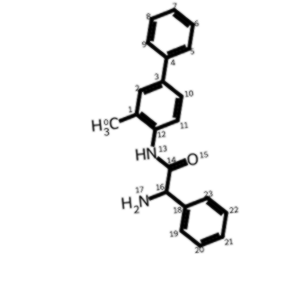 Cc1cc(-c2ccccc2)ccc1NC(=O)C(N)c1ccccc1